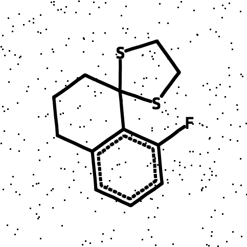 Fc1cccc2c1C1(CCC2)SCCS1